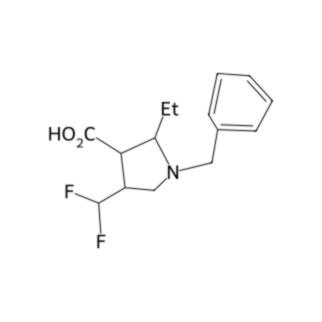 CCC1C(C(=O)O)C(C(F)F)CN1Cc1ccccc1